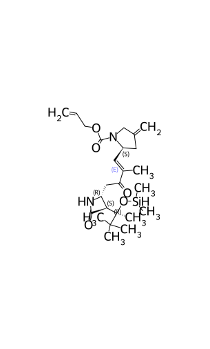 C=CCOC(=O)N1CC(=C)C[C@H]1/C=C(\C)C(=O)C[C@H]1NC(=O)[C@@H]1[C@@](C)(O[SiH](C)C)C(C)(C)C